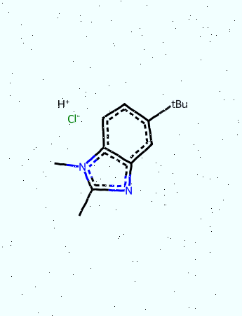 Cc1nc2cc(C(C)(C)C)ccc2n1C.[Cl-].[H+]